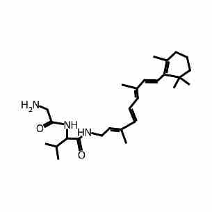 CC(C=CC1=C(C)CCCC1(C)C)=CC=CC(C)=CCNC(=O)C(NC(=O)CN)C(C)C